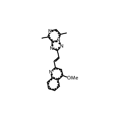 COc1cc(/C=C/c2nc3c(C)ncc(C)n3n2)nc2ccccc12